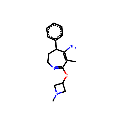 CC1=C(N)C(c2ccccc2)CCN=C1OC1CN(C)C1